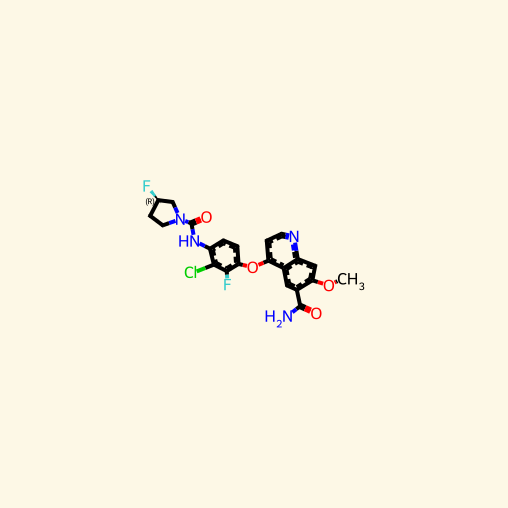 COc1cc2nccc(Oc3ccc(NC(=O)N4CC[C@@H](F)C4)c(Cl)c3F)c2cc1C(N)=O